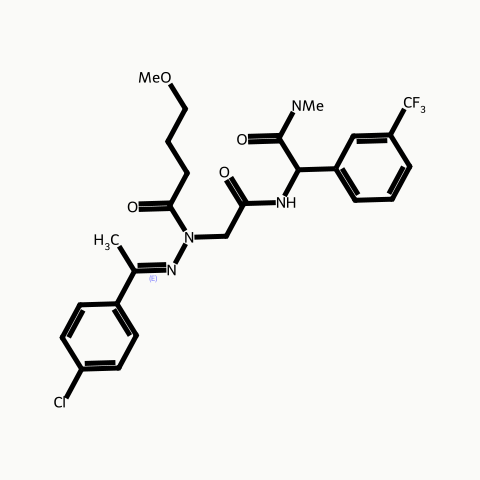 CNC(=O)C(NC(=O)CN(/N=C(\C)c1ccc(Cl)cc1)C(=O)CCCOC)c1cccc(C(F)(F)F)c1